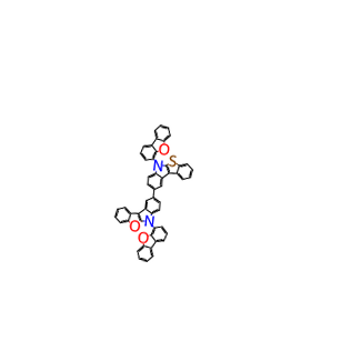 c1ccc2c(c1)oc1c(-n3c4ccc(-c5ccc6c(c5)c5c7ccccc7sc5n6-c5cccc6c5oc5ccccc56)cc4c4c5ccccc5oc43)cccc12